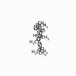 COc1cc(N2CCN(C(=O)OC(C)(C)C)CC2)c(C)cc1Nc1ncc(Cl)c(Nc2cccnc2S(=O)(=O)C(C)C)n1